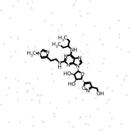 CCC(CC)Nc1nc(NCCc2cn(C)cn2)nc2c1ncn2[C@@H]1O[C@H](c2cc(CO)no2)[C@@H](O)[C@H]1O